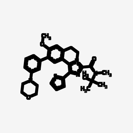 COc1cc2c(cc1-c1cccc(N3CCOCC3)c1)-c1c(-c3cccs3)nc(C(=O)N(C)C(C)(C)C)n1CC2